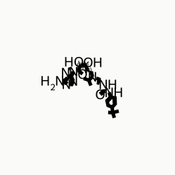 CC(C)N(CCNC(=O)NC1=CCC(C(C)(C)C)C=C1)C[C@H]1OC(n2cnc3c(N)ncnc32)[C@H](O)[C@@H]1O